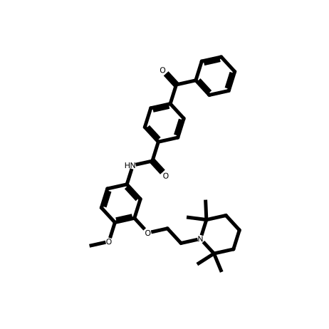 COc1ccc(NC(=O)c2ccc(C(=O)c3ccccc3)cc2)cc1OCCN1C(C)(C)CCCC1(C)C